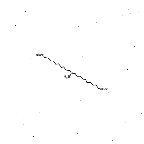 CCCCCCCCCCCCCCCCCCCCN([SiH3])CCCCCCCCCCCCCCCCCCCC